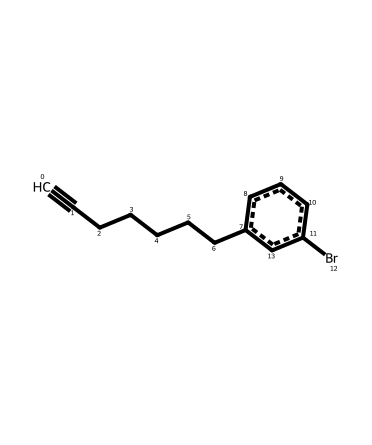 C#CCCCCCc1cccc(Br)c1